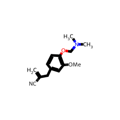 C=C(C#N)Cc1ccc(OCN(C)C)c(OC)c1